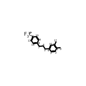 Cc1ccc(CCCc2ccc(C(F)(F)F)cc2)cc1C